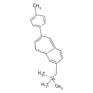 Cc1ccc(-c2ccc3cc([CH2][Sn]([CH3])([CH3])[CH3])ccc3c2)cc1